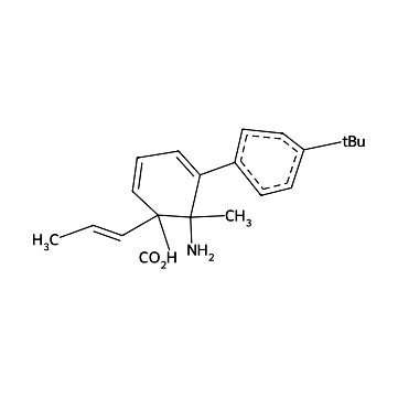 CC=CC1(C(=O)O)C=CC=C(c2ccc(C(C)(C)C)cc2)C1(C)N